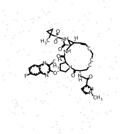 Cc1nc2ccc(F)cc2nc1O[C@@H]1C[C@H]2C(=O)N[C@]3(C(=O)NS(=O)(=O)C4(C)CC4)C[C@H]3/C=C\CCCCC[C@H](NC(=O)c3ccn(C)n3)C(=O)N2C1